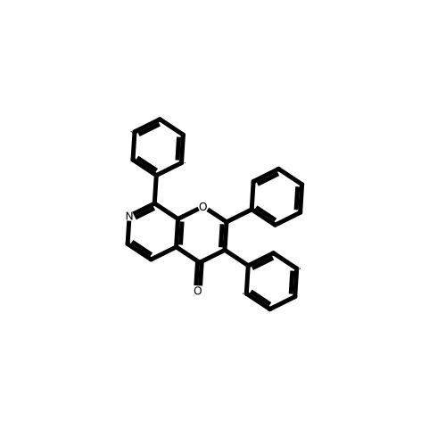 O=c1c(-c2[c]cc[c]c2)c(-c2ccccc2)oc2c(-c3[c]cc[c]c3)nccc12